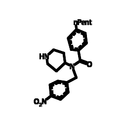 CCCCCc1ccc(C(=O)N(Cc2ccc([N+](=O)[O-])cc2)C2CCNCC2)cc1